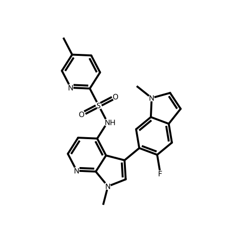 Cc1ccc(S(=O)(=O)Nc2ccnc3c2c(-c2cc4c(ccn4C)cc2F)cn3C)nc1